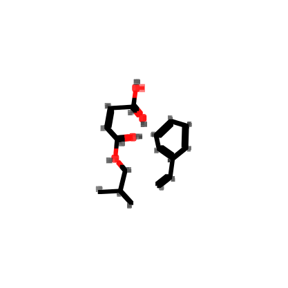 C=Cc1ccccc1.CC(C)COC(=O)/C=C\C(=O)O